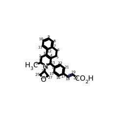 CC1CC2=C(CCc3ccccc32)C(c2ccc(/C=C/C(=O)O)cc2)N1C1COC1